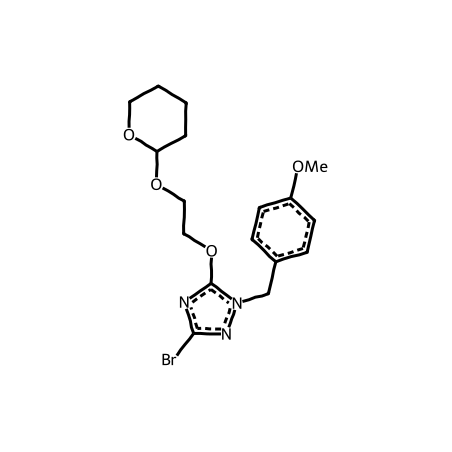 COc1ccc(Cn2nc(Br)nc2OCCOC2CCCCO2)cc1